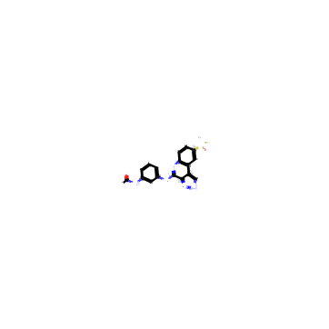 CC(=O)Nc1cccc(Nc2nc3ccc(S(C)(=O)=O)cc3c3c[nH]nc23)c1